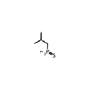 CC(C)C[PH2]=S